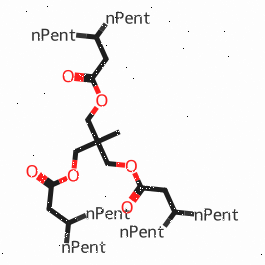 CCCCCC(CCCCC)CC(=O)OCC(C)(COC(=O)CC(CCCCC)CCCCC)COC(=O)CC(CCCCC)CCCCC